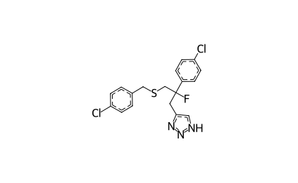 FC(CSCc1ccc(Cl)cc1)(Cc1c[nH]nn1)c1ccc(Cl)cc1